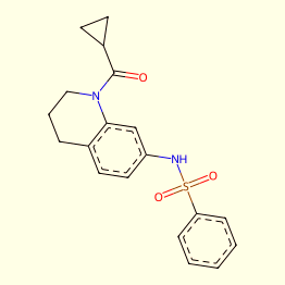 O=C(C1CC1)N1CCCc2ccc(NS(=O)(=O)c3ccccc3)cc21